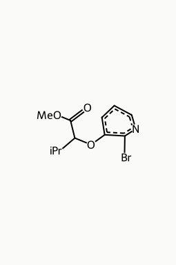 COC(=O)C(Oc1cccnc1Br)C(C)C